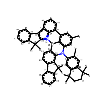 Cc1cc2c3c(c1)N(c1cc4c(cc1C)C(C)(C)CCC4(C)C)c1c(ccc4c1C(C)(C)c1ccccc1-4)B3n1c3c(c4cccc-2c41)-c1ccccc1C3(C)C